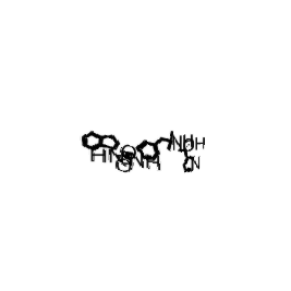 CC(C)(Cc1ccc(NS(=O)(=O)NC2CCc3ccccc32)cc1)NC[C@H](O)c1cccnc1